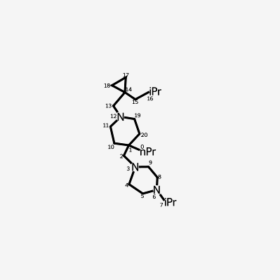 CCCC1(CN2CCN(C(C)C)CC2)CCN(CC2(CC(C)C)CC2)CC1